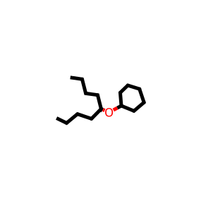 CCCC[C](CCCC)OC1CCCCC1